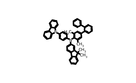 Cc1cc(-c2ccccc2-c2ccccc2)cc(C)c1N(c1ccc(-n2c3ccccc3c3ccccc32)cc1)c1ccc2c(c1)C(C)(C)c1ccccc1-2